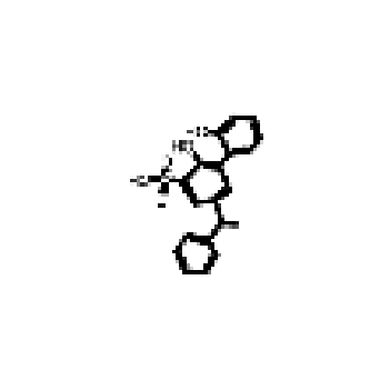 CC(c1ccccc1)c1cc(-c2ccccc2O)c(O)c(S(=O)(=O)O)c1